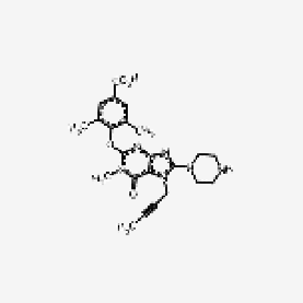 CC#CCn1c(N2CCNCC2)nc2nc(Oc3c(C)cc(C(=O)O)cc3C)n(C)c(=O)c21